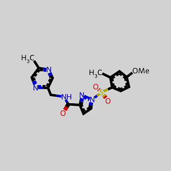 COc1ccc(S(=O)(=O)n2ccc(C(=O)NCc3cnc(C)cn3)n2)c(C)c1